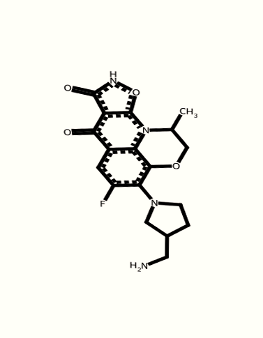 CC1COc2c(N3CCC(CN)C3)c(F)cc3c(=O)c4c(=O)[nH]oc4n1c23